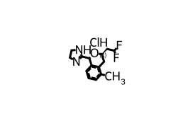 Cc1cccc2c1C[C@H](CC(F)F)OC2C1=NCCN1.Cl